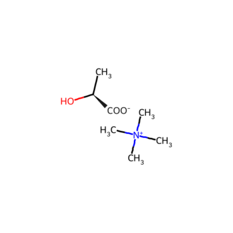 C[C@H](O)C(=O)[O-].C[N+](C)(C)C